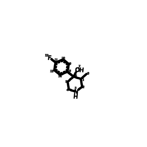 CC1CNCCC1(O)c1ccc(F)cc1